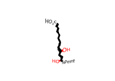 CCCCCC(O)CCC(O)CCCCCCC=CC(=O)O